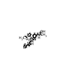 C=CC(=O)N1CCC[C@@H]1Cn1c(NC(=O)c2ccc(-c3cnco3)s2)nc2cc(CN[C@@H](C)CO)ccc21